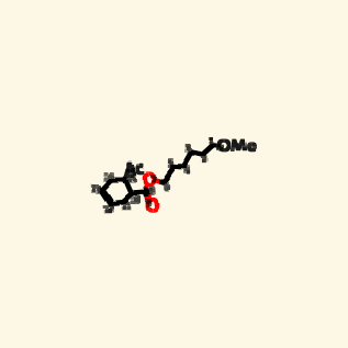 COCCCCCCOC(=O)C1CC=CCC1C(C)=O